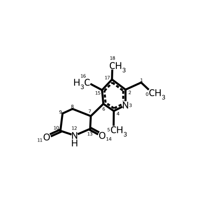 CCc1nc(C)c(C2CCC(=O)NC2=O)c(C)c1C